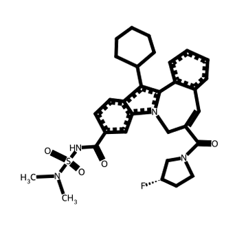 CN(C)S(=O)(=O)NC(=O)c1ccc2c(C3CCCCC3)c3n(c2c1)CC(C(=O)N1CC[C@H](F)C1)=Cc1ccccc1-3